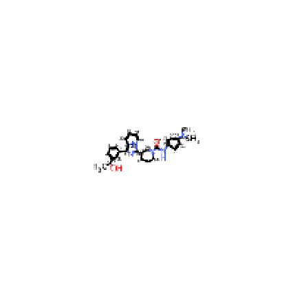 CC(O)c1cccc(-c2nc([C@@H]3CCCN(C(=O)Nc4ccc(N(C)C)cc4)C3)n3ccccc23)c1